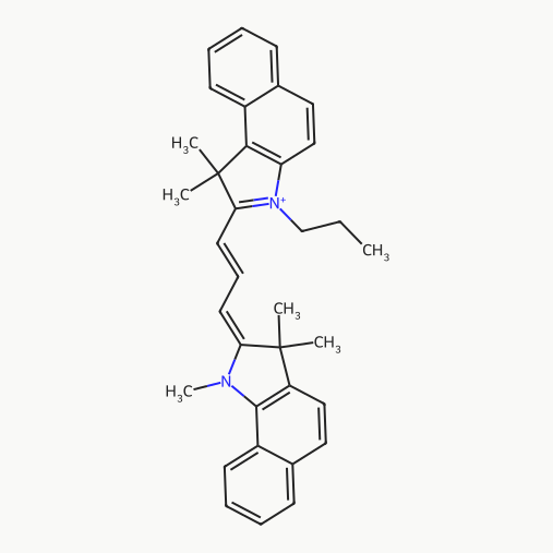 CCC[N+]1=C(/C=C/C=C2/N(C)c3c(ccc4ccccc34)C2(C)C)C(C)(C)c2c1ccc1ccccc21